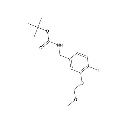 COCOc1cc(CNC(=O)OC(C)(C)C)ccc1I